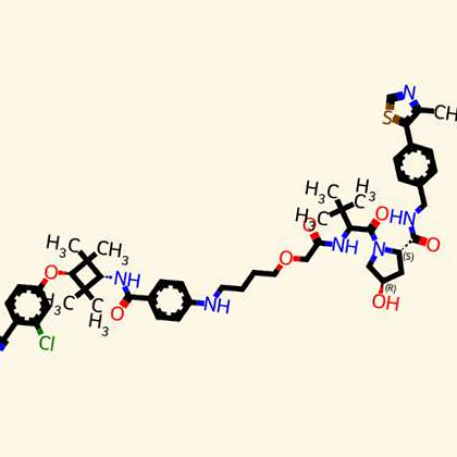 Cc1ncsc1-c1ccc(CNC(=O)[C@@H]2C[C@@H](O)CN2C(=O)C(NC(=O)COCCCCNc2ccc(C(=O)N[C@H]3C(C)(C)[C@H](Oc4ccc(C#N)c(Cl)c4)C3(C)C)cc2)C(C)(C)C)cc1